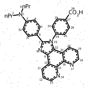 CCCN(CCC)c1ccc(-c2nc3c4cccnc4c4ncccc4c3n2-c2ccc(C(=O)O)cc2)cc1